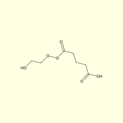 O=C(O)CCCC(=O)OOCCO